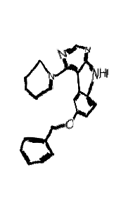 c1ccc(COc2ccc3[nH]c4ncnc(N5CCCCC5)c4c3c2)cc1